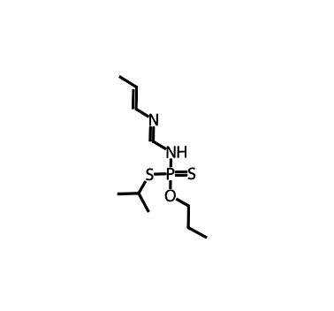 CC=CN=CNP(=S)(OCCC)SC(C)C